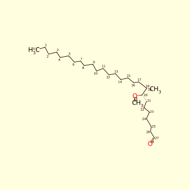 CCCCCCCCCCCCCCCCCC[C@H](C)[C@H](CCCCCCC=O)OC